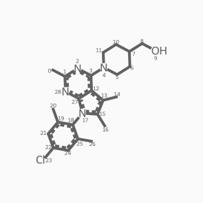 Cc1nc(N2CCC(CO)CC2)c2c(C)c(C)n(-c3c(C)cc(Cl)cc3C)c2n1